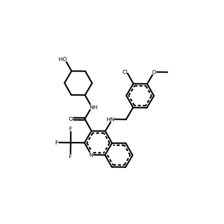 COc1ccc(CNc2c(C(=O)NC3CCC(O)CC3)c(C(F)(F)F)nc3ccccc23)cc1Cl